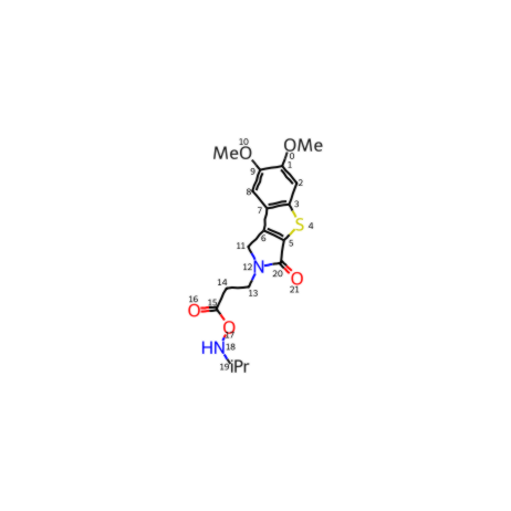 COc1cc2sc3c(c2cc1OC)CN(CCC(=O)ONC(C)C)C3=O